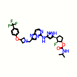 CC(C)NC(=O)O[C@@H]1CC[C@H](c2cc(Nc3nccc4nc(CN5CC(Oc6ccc(C(F)(F)F)cc6)C5)cn34)n[nH]2)[C@@H]1F